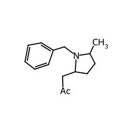 CC(=O)CC1CCC(C)N1Cc1ccccc1